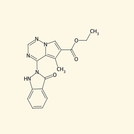 CCOC(=O)c1cn2ncnc(-n3[nH]c4ccccc4c3=O)c2c1C